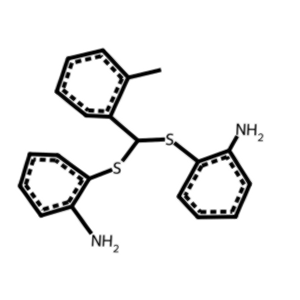 Cc1ccccc1C(Sc1ccccc1N)Sc1ccccc1N